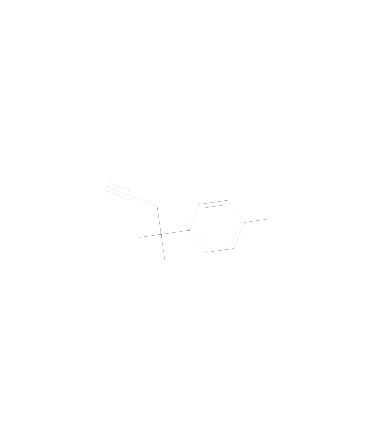 C#CCC(C)(O)c1ccc(F)cc1